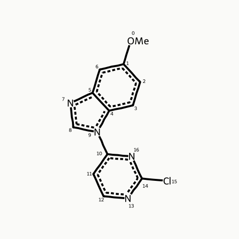 COc1ccc2c(c1)ncn2-c1ccnc(Cl)n1